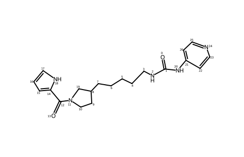 O=C(NCCCCCC1CCN(C(=O)c2ccc[nH]2)C1)Nc1ccncc1